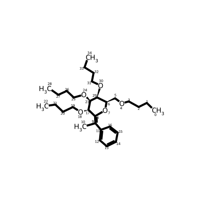 CCCCOC[C@H]1O/C(=C(/C)c2ccccc2)[C@H](OCCCC)[C@@H](OCCCC)[C@H]1OCCCC